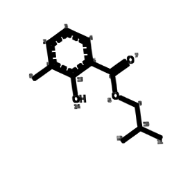 Cc1cccc(C(=O)OCC(C)C)c1O